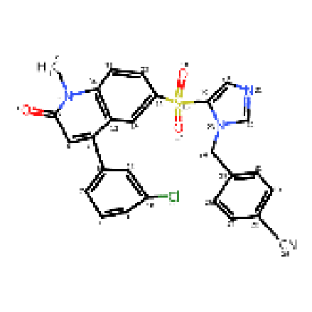 Cn1c(=O)cc(-c2cccc(Cl)c2)c2cc(S(=O)(=O)c3cncn3Cc3ccc(C#N)cc3)ccc21